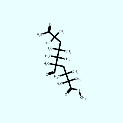 BC(=O)C(C)(C)CC(C)(C)C(C)(C)C(C)(C=O)CC(C)(C)C(C)(C)C(=O)OC